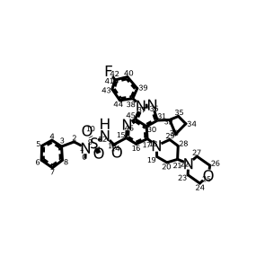 CN(Cc1ccccc1)S(=O)(=O)NC(=O)c1cc(N2CCC(N3CCOCC3)CC2)c2c(C3CCC3)nn(-c3ccc(F)cc3)c2n1